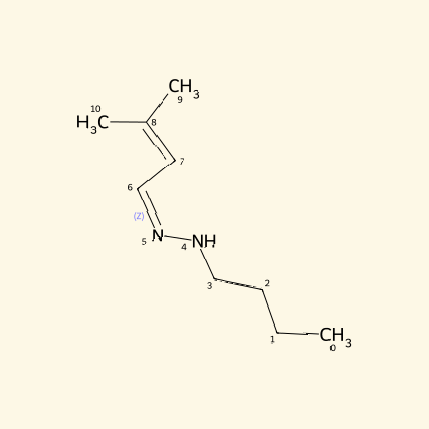 CCCCN/N=C\C=C(C)C